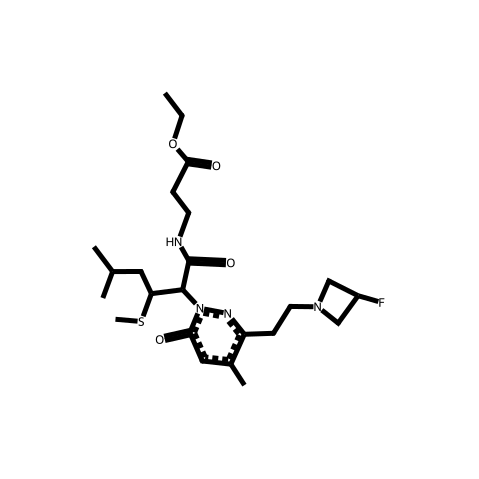 CCOC(=O)CCNC(=O)C(C(CC(C)C)SC)n1nc(CCN2CC(F)C2)c(C)cc1=O